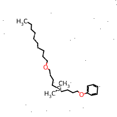 CCCCCCCCCCOCCCC[Si](C)(C)CCCCOc1cc[c]cc1